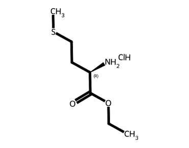 CCOC(=O)[C@H](N)CCSC.Cl